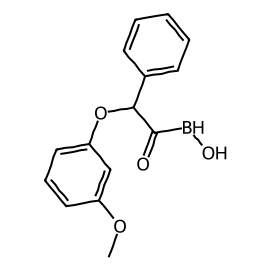 COc1cccc(OC(C(=O)BO)c2ccccc2)c1